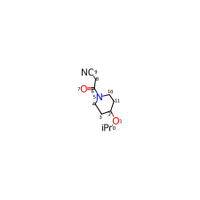 CC(C)OC1CCN(C(=O)CC#N)CC1